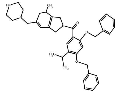 CC1CC(CN2CCNCC2)=CC2=C1CN(C(=O)c1cc(C(C)C)c(OCc3ccccc3)cc1OCc1ccccc1)C2